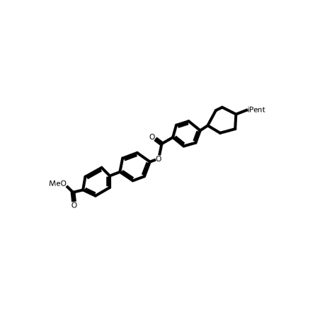 CCCC(C)C1CCC(c2ccc(C(=O)Oc3ccc(-c4ccc(C(=O)OC)cc4)cc3)cc2)CC1